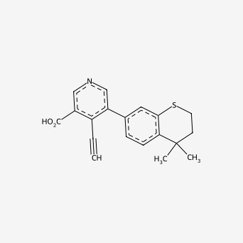 C#Cc1c(C(=O)O)cncc1-c1ccc2c(c1)SCCC2(C)C